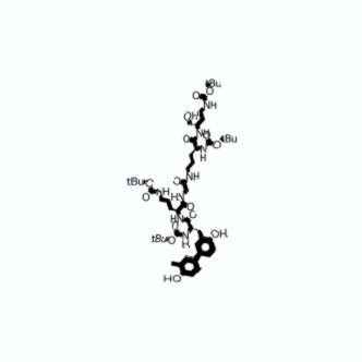 Cc1cc(-c2ccc(O)c(C[C@H](NC(=O)OC(C)(C)C)C(=O)N[C@@H](CCCNC(=O)OC(C)(C)C)C(=O)NCC(=O)NCCC[C@H](NC(=O)OC(C)(C)C)C(=O)N[C@H](CO)CCNC(=O)OC(C)(C)C)c2)ccc1O